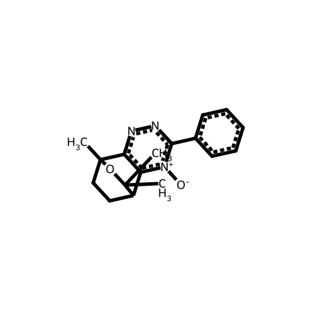 CC12CCC(c3c1nnc(-c1ccccc1)[n+]3[O-])C(C)(C)O2